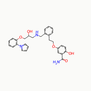 NC(=O)c1cc(OCCc2ccccc2CNCC(O)COc2ccccc2-n2cccc2)ccc1O